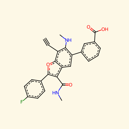 C#Cc1c(NC)c(-c2cccc(C(=O)O)c2)cc2c(C(=O)NC)c(-c3ccc(F)cc3)oc12